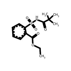 CCOC(=O)c1ccccc1S(=O)(=O)NC(=O)C(C)(C)C